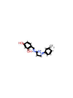 Oc1ccc(/C=N/C2=NN(c3cccc(C(F)(F)F)c3)CC2)c(O)c1